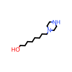 OCCCCCCCCN1CCNCC1